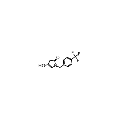 O=C1CC(O)=CN1Cc1ccc(C(F)(F)F)cc1